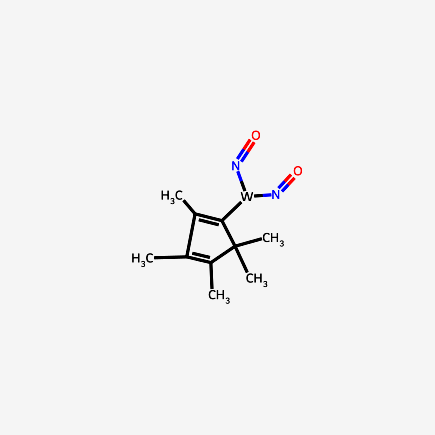 CC1=C(C)C(C)(C)[C]([W]([N]=O)[N]=O)=C1C